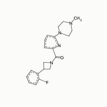 CN1CCN(c2cccc(C(=O)N3CC(c4ccccc4F)C3)n2)CC1